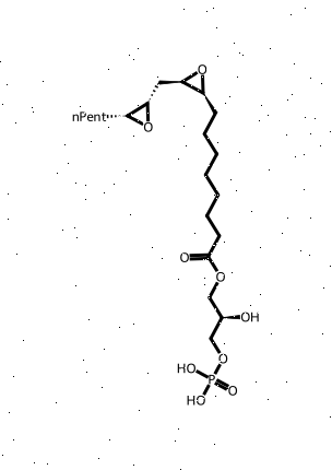 CCCCC[C@H]1O[C@H]1C[C@H]1O[C@H]1CCCCCCCC(=O)OC[C@@H](O)COP(=O)(O)O